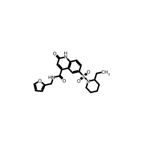 CCC1CCCCN1S(=O)(=O)c1ccc2[nH]c(=O)cc(C(=O)NCc3ccco3)c2c1